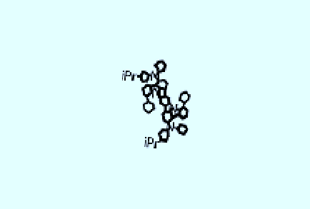 CC(C)c1ccc(N(c2ccccc2)c2ccc3c4cc5c(cc4n4c6c(C7CCCCC7)cccc6c2c34)c2ccc(N(c3ccccc3)c3ccc(C(C)C)cc3)c3c4cccc(C6CCCCC6)c4n5c23)cc1